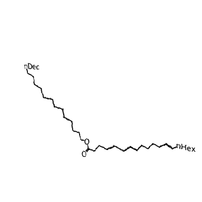 CCCCCCC=CCCCCCCCCCCCC(=O)OCCCCCCCCCCCCCCCCCCCCCCC